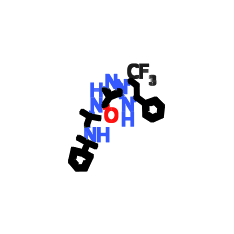 CC(C)(CNC(C)(C)c1ccccc1)NC(=O)c1cnn2c1NC(c1ccccc1)C[C@H]2C(F)(F)F